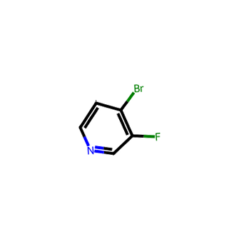 Fc1cnc[c]c1Br